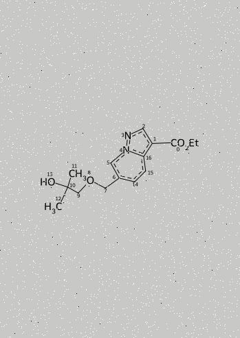 CCOC(=O)c1cnn2cc(COCC(C)(C)O)ccc12